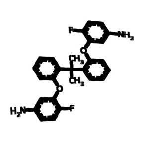 CC(C)(c1ccccc1Oc1cc(N)ccc1F)c1ccccc1Oc1cc(N)ccc1F